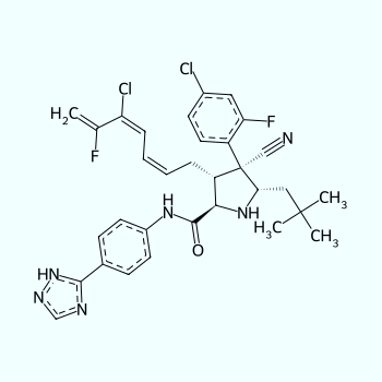 C=C(F)/C(Cl)=C\C=C/C[C@H]1[C@H](C(=O)Nc2ccc(-c3ncn[nH]3)cc2)N[C@@H](CC(C)(C)C)[C@]1(C#N)c1ccc(Cl)cc1F